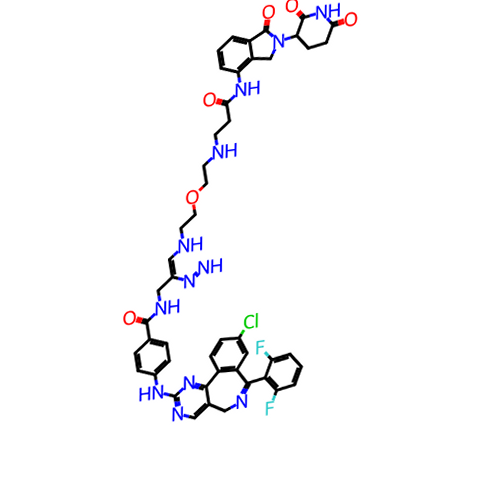 N=N/C(=C\NCCOCCNCCC(=O)Nc1cccc2c1CN(C1CCC(=O)NC1=O)C2=O)CNC(=O)c1ccc(Nc2ncc3c(n2)-c2ccc(Cl)cc2C(c2c(F)cccc2F)=NC3)cc1